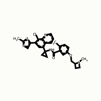 Cc1ncc(-c2cc(C3(NC(=O)c4cc(OCC5CCN5C)ccc4C)CC3)c3cccnc3c2Cl)s1